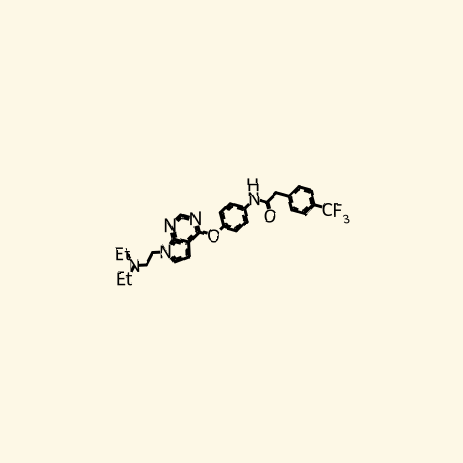 CCN(CC)CCn1ccc2c(Oc3ccc(NC(=O)Cc4ccc(C(F)(F)F)cc4)cc3)ncnc21